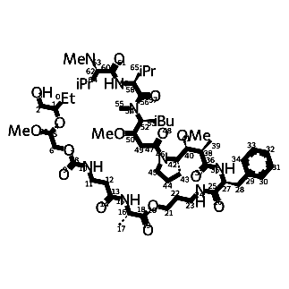 CCC(CO)OC(COC(=O)NCCC(=O)N[C@@H](C)C(=O)OCCCNC(=O)[C@H](Cc1ccccc1)NC(=O)[C@H](C)[C@@H](OC)[C@@H]1CCCN1C(=O)CC(OC)[C@H](C(C)CC)N(C)C(=O)[C@@H](NC(=O)[C@@H](NC)C(C)C)C(C)C)OC